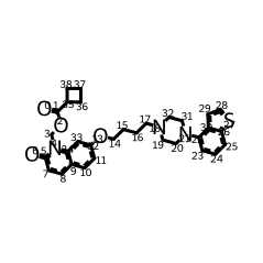 O=C(OCn1c(=O)ccc2ccc(OCCCCN3CCN(c4cccc5sccc45)CC3)cc21)C1CCC1